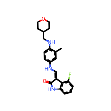 Cc1cc(NC=C2C(=O)Nc3cccc(F)c32)ccc1NCC1CCOCC1